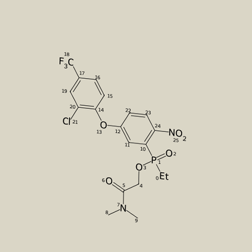 CCP(=O)(OCC(=O)N(C)C)c1cc(Oc2ccc(C(F)(F)F)cc2Cl)ccc1[N+](=O)[O-]